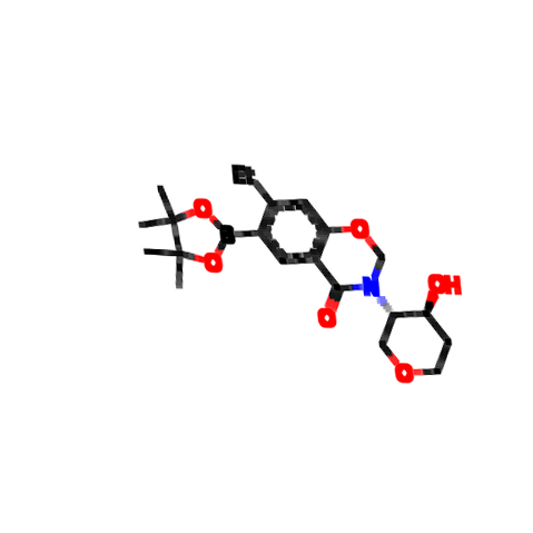 CCc1cc2c(cc1B1OC(C)(C)C(C)(C)O1)C(=O)N([C@H]1COCC[C@@H]1O)CO2